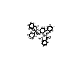 COc1ccccc1C(=O)NC[C@]1(c2ccccc2)CC[C@H](N(Cc2ccccc2)S(=O)(=O)N2CCOCC2)CC1